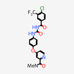 CNC(=O)c1cc(Oc2ccc(NC(=O)NC(=O)c3ccc(Cl)c(C(F)(F)F)c3)cc2)ccn1